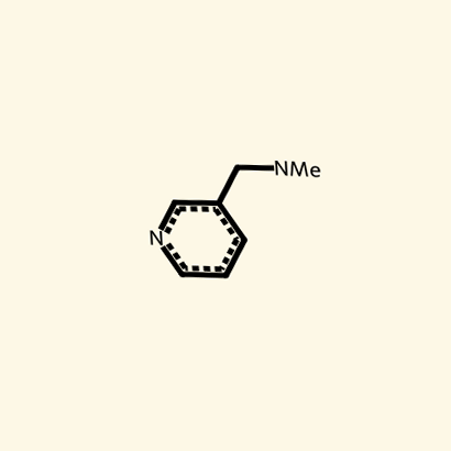 [CH2]NCc1cccnc1